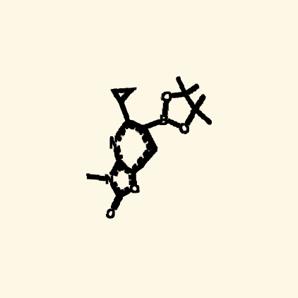 Cn1c(=O)oc2cc(B3OC(C)(C)C(C)(C)O3)c(C3CC3)nc21